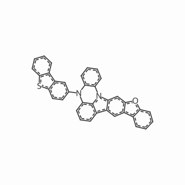 c1ccc2c(c1)N(c1ccc3sc4ccccc4c3c1)c1cccc3c4cc5c(cc4n-2c13)oc1ccccc15